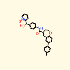 Cc1ccc(-c2ccc3c(c2)C=C(C(=O)Nc2ccc(C(O)c4cccc[n+]4[O-])cc2)CCO3)cc1